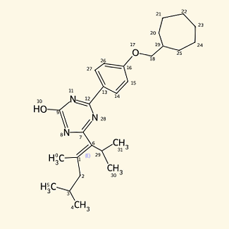 C/C(CC(C)C)=C(\c1nc(O)nc(-c2ccc(OCC3CCCCCC3)cc2)n1)C(C)C